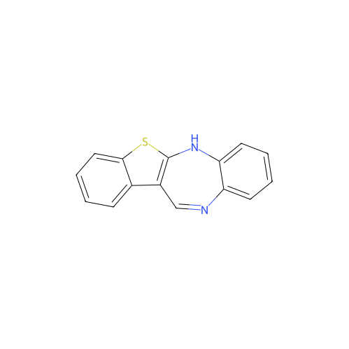 C1=Nc2ccccc2Nc2sc3ccccc3c21